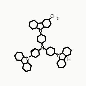 CC1CCC2C(C1)C1CCCCC1N2C1CCC(N(C2C=CC(N3C4CCCCC4C4CCCCC43)CC2)C2CCC(N3C4CCCCC4[C@H]4CCCCC43)CC2)CC1